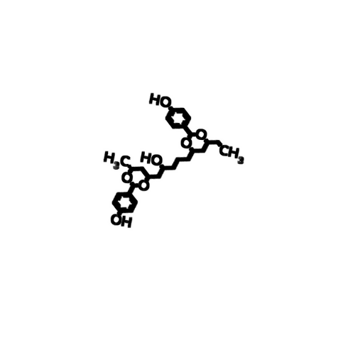 CCC1CC(CCCC(O)CC2C[C@H](C)OC(c3ccc(O)cc3)O2)OC(c2ccc(O)cc2)O1